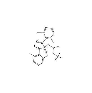 Cc1cccc(C)c1C(=O)P(=O)(CC(C)CC(C)(C)C)C(=O)c1c(C)cccc1C